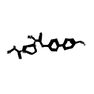 CCNC(=O)[C@H]1CC[C@@H](N(C)C(=O)Oc2ccc(-c3ccc(C)cc3)cc2)C1